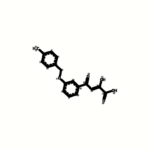 Cc1ccc(COc2cccc(C(=O)C=C(O)C(=O)O)c2)cc1